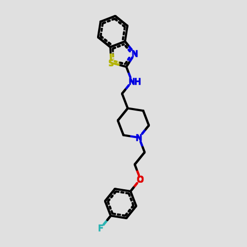 Fc1ccc(OCCN2CCC(CNc3nc4ccccc4s3)CC2)cc1